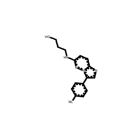 N#Cc1ccc(-c2cnc3ccc(NCCCO)nn23)cc1